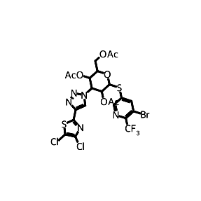 CC(=O)OCC1OC(Sc2cnc(C(F)(F)F)c(Br)c2)C(OC(C)=O)C(n2cc(-c3nc(Cl)c(Cl)s3)nn2)C1OC(C)=O